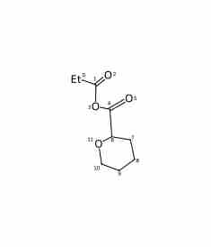 CCC(=O)OC(=O)C1CCCCO1